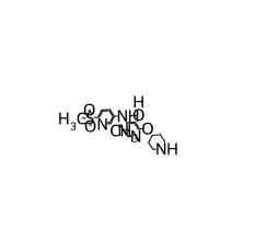 Cc1nc(S(C)(=O)=O)ccc1Nc1ncnc(OC2CCNCC2)c1O